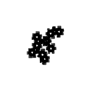 c1ccc(-c2cc(-c3ccc4sc5ccccc5c4c3)nc(-n3c4ccccc4c4cc5c6ccccc6n(-c6ccc7cccnc7c6)c5cc43)n2)cc1